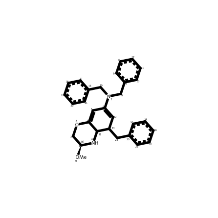 CO[C@H]1COC2=CC(N(Cc3ccccc3)Cc3ccccc3)=CC(Cc3ccccc3)C2N1